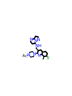 CC(=O)N1CCN(c2nc3c(C)c(F)ccc3cc2CNc2ccnc3ccnn23)CC1